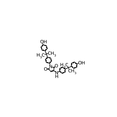 CC(C)(c1ccc(O)cc1)c1ccc(NC2=CC(=O)N(c3ccc(C(C)(C)c4ccc(O)cc4)cc3)C2=O)cc1